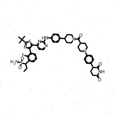 CCC(c1cccc(-c2nc(C(C)(C)C)sc2-c2ccnc(Nc3ccc(C4CCN(C(=O)C5CCN(c6ccc(C7CCC(=O)NC7=O)cc6)CC5)CC4)cc3)n2)c1F)S(N)(=O)=O